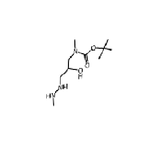 CNNCC(O)CN(C)C(=O)OC(C)(C)C